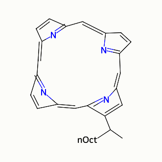 CCCCCCCCC(C)C1=CC2=CC3=NC(=CC4=NC(=CC5=NC(=CC1=N2)C=C5)C=C4)C=C3